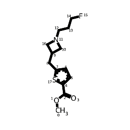 COC(=O)c1ccc(CC2CN(CCCF)C2)s1